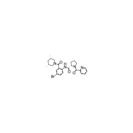 C[C@@H]1C[C@H](C)CN(C(=O)c2cc(Br)ccc2NC(=O)[C@@H]2CCCN2C(=O)c2ccccn2)C1